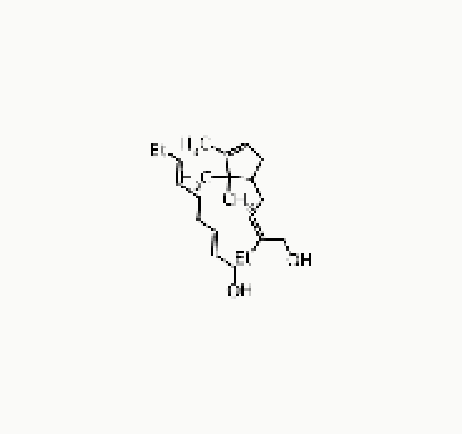 CCC(=CCC1CC=C(C)C1(C)C)CO.CCC=CCCC=CCO